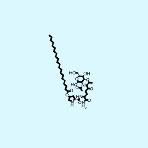 CCCCCCCCCCCCCCCCCCCCCC(=O)OC1CN[C@H](C(=O)N[C](CCC(=O)CC(C)O[C@H]2[C@H](O)[C@@H](CO)O[C@H](O)[C@@H]2NC(C)=O)C(N)=O)C1